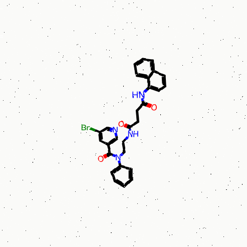 O=C(CCC(=O)Nc1cccc2ccccc12)NCCN(C(=O)c1cncc(Br)c1)c1ccccc1